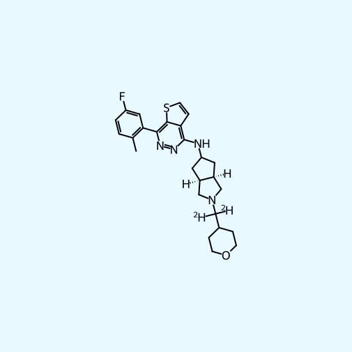 [2H]C([2H])(C1CCOCC1)N1C[C@H]2CC(Nc3nnc(-c4cc(F)ccc4C)c4sccc34)C[C@H]2C1